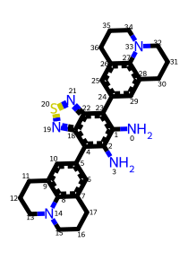 Nc1c(N)c(-c2cc3c4c(c2)CCCN4CCC3)c2nsnc2c1-c1cc2c3c(c1)CCCN3CCC2